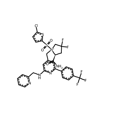 NC(=O)[C@@H]1CC(F)(F)C[N+]1(Cc1cc(NCc2ccccn2)nc(-c2ccc(C(F)(F)F)cc2)c1)S(=O)(=O)c1ccc(Cl)s1